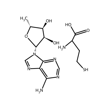 C[C@H]1O[C@@H](n2cnc3c(N)ncnc32)[C@H](O)[C@@H]1O.NC(CCS)C(=O)O